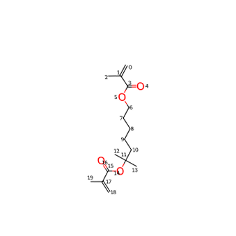 C=C(C)C(=O)OCCCCCC(C)(C)OC(=O)C(=C)C